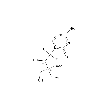 CO[C@@](CO)(CF)[C@@H](O)C(F)(F)n1ccc(N)nc1=O